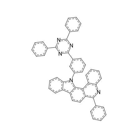 c1ccc(-c2nc(-c3ccccc3)nc(-c3cccc(-n4c5ccccc5c5ccc6c(-c7ccccc7)nc7ccccc7c6c54)c3)n2)cc1